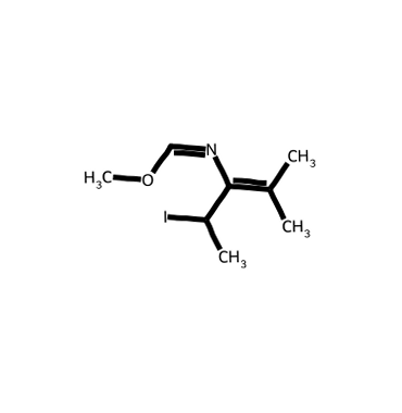 CO/C=N\C(=C(C)C)C(C)I